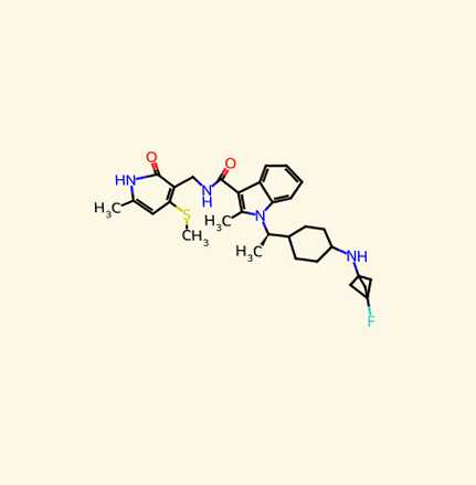 CSc1cc(C)[nH]c(=O)c1CNC(=O)c1c(C)n([C@H](C)C2CCC(NC34CC(F)(C3)C4)CC2)c2ccccc12